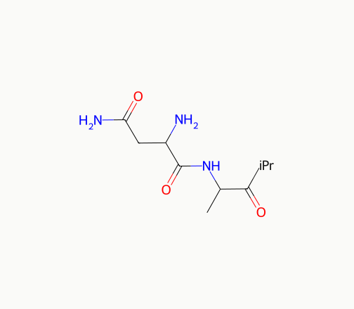 CC(C)C(=O)C(C)NC(=O)C(N)CC(N)=O